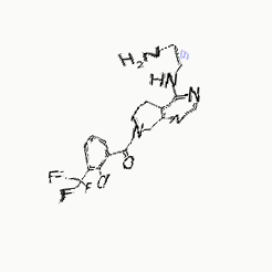 N/C=C\Nc1ncnc2c1CCN(C(=O)c1cccc(C(F)(F)F)c1Cl)C2